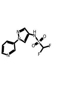 O=S(=O)(Nc1cnn(-c2cccnc2)c1)C(F)F